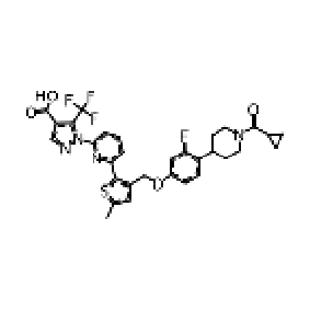 Cc1cc(COc2ccc(C3CCN(C(=O)C4CC4)CC3)c(F)c2)c(-c2cccc(-n3ncc(C(=O)O)c3C(F)(F)F)n2)s1